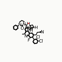 Cc1nc2c(F)c(-c3cccc(Cl)c3Cl)c(CCC#N)cc2c2c1cc([C@@H](C)N1CCCN(c3ccccc3)C1=O)n2[C@H]1[C@H]2CN[C@@H]1C2